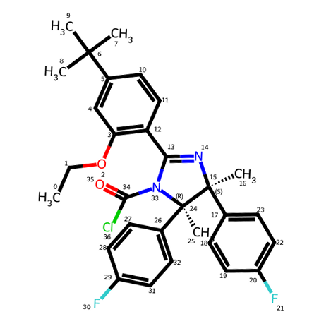 CCOc1cc(C(C)(C)C)ccc1C1=N[C@@](C)(c2ccc(F)cc2)[C@@](C)(c2ccc(F)cc2)N1C(=O)Cl